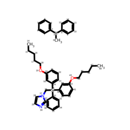 CB(c1ccccc1)c1ccccc1.CCCCCOc1cccc([Si](Cn2ccnc2)(c2ccccc2)c2cccc(OCCCCC)c2)c1